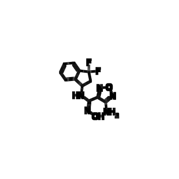 Nc1nonc1/C(=N\O)NC1CC(F)(F)c2ccccc21